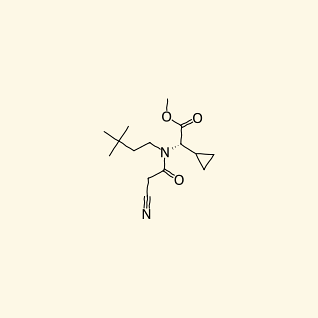 COC(=O)[C@H](C1CC1)N(CCC(C)(C)C)C(=O)CC#N